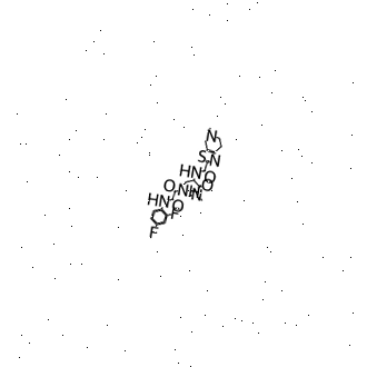 CN1CCc2nc(C(=O)NC(CNC(=O)C(=O)Nc3ccc(F)cc3F)C(=O)N(C)C)sc2C1